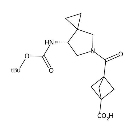 CC(C)(C)OC(=O)N[C@H]1CN(C(=O)C23CC(C(=O)O)(C2)C3)CC12CC2